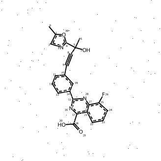 Cc1cnc(C(C)(O)C#Cc2cccc(-c3nc(C(=O)O)c4cccc(F)c4n3)c2)o1